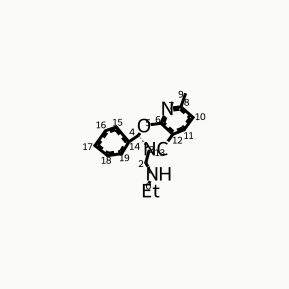 CCNCC[C@@H](Oc1nc(C)ccc1C#N)c1ccccc1